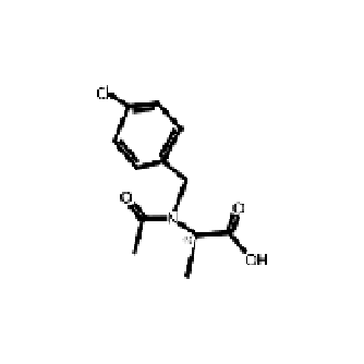 CC(=O)N(Cc1ccc(Cl)cc1)[C@H](C)C(=O)O